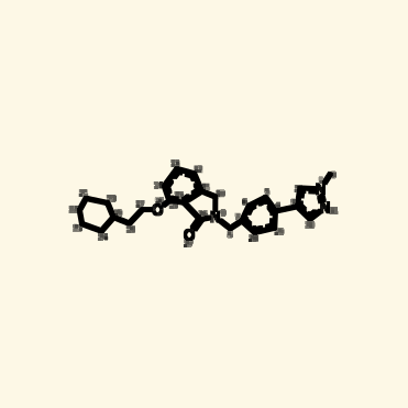 Cn1cc(-c2ccc(CN3Cc4cccc(OCCC5CCCCC5)c4C3=O)cc2)cn1